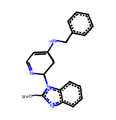 COc1nc2ccccc2n1C1CC(NCc2ccccc2)=CC=N1